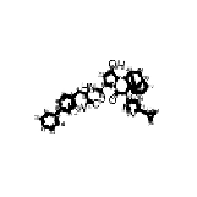 NC(=O)C(Cc1ccc(-c2ccccc2)cc1)NC(=O)[C@@H]1C[C@@H](O)CN1C(=O)C(n1cc(C2CC2)nn1)C12CC3CC(CC(C3)C1)C2